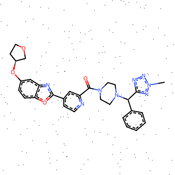 Cn1nnc(C(c2ccccc2)N2CCN(C(=O)c3cc(-c4nc5cc(O[C@H]6CCOC6)ccc5o4)ccn3)CC2)n1